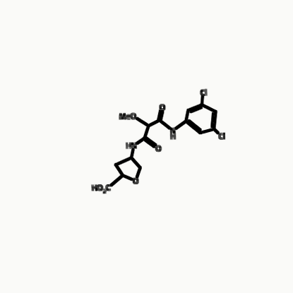 COC(C(=O)Nc1cc(Cl)cc(Cl)c1)C(=O)NC1COC(C(=O)O)C1